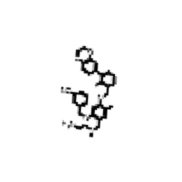 Cc1cc(CN(C)CCN)c(OCc2cccc(C#N)c2)cc1OCc1cccc(-c2ccc3c(c2)OCCO3)c1C